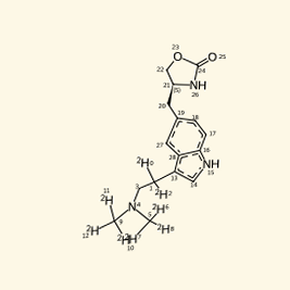 [2H]C([2H])(CN(C([2H])([2H])[2H])C([2H])([2H])[2H])c1c[nH]c2ccc(C[C@H]3COC(=O)N3)cc12